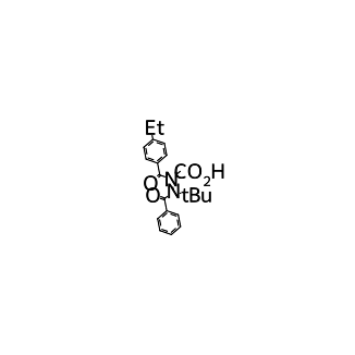 CCc1ccc(C(=O)N(C(=O)O)N(C(=O)c2ccccc2)C(C)(C)C)cc1